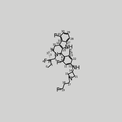 CC[C@@](C)(F)CN1[C@H](c2c(F)cc(NC3CN(CCCF)C3)cc2F)c2[nH]c3cccc(F)c3c2C[C@H]1C